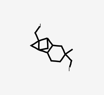 CC1(CI)CCC2C(C1)C1CC23CC13CI